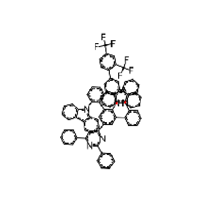 FC(F)(F)c1ccc(-c2ccc3c(c2)c2ccccc2n3-c2c(-c3ccccc3-n3c4ccccc4c4ccccc43)cc(-c3cc(-c4ccccc4)nc(-c4ccccc4)n3)cc2-c2ccccc2-n2c3ccccc3c3ccccc32)c(C(F)(F)F)c1